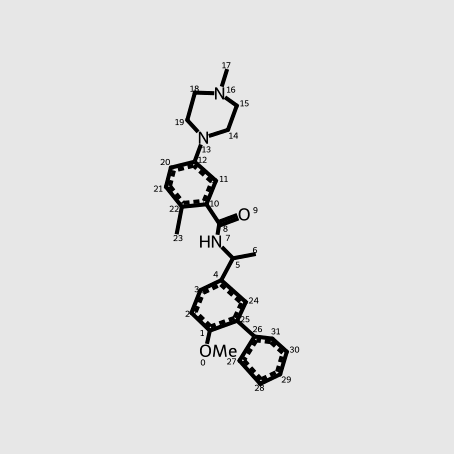 COc1ccc(C(C)NC(=O)c2cc(N3CCN(C)CC3)ccc2C)cc1-c1ccccc1